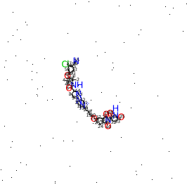 CC1(C)C(NC(=O)c2ccc(N3CC[N+](C)(CCCCCOc4ccc5c(c4)C(=O)N(C4CCC(=O)NC4=O)C5=O)CC3)nc2)C(C)(C)C1Oc1ccc(C#N)c(Cl)c1